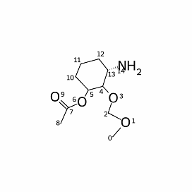 COCOC1C(OC(C)=O)CCC[C@@H]1N